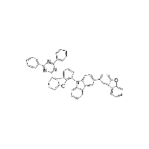 c1ccc(-c2nc(-c3ccccc3)nc(-c3cccc4oc5c(-n6c7ccccc7c7cc(-c8ccc9oc%10ccccc%10c9c8)ccc76)cccc5c34)n2)cc1